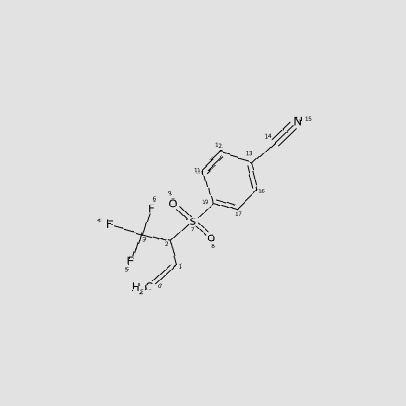 C=CC(C(F)(F)F)S(=O)(=O)c1ccc(C#N)cc1